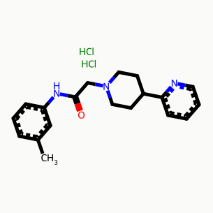 Cc1cccc(NC(=O)CN2CCC(c3ccccn3)CC2)c1.Cl.Cl